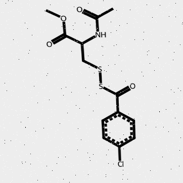 COC(=O)C(CSSC(=O)c1ccc(Cl)cc1)NC(C)=O